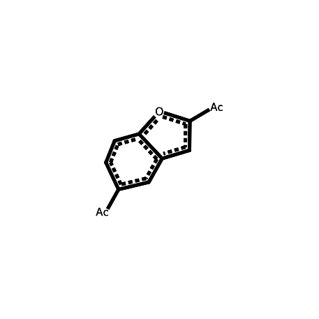 CC(=O)c1ccc2oc(C(C)=O)cc2c1